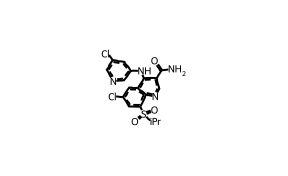 CC(C)S(=O)(=O)c1cc(Cl)cc2c(Nc3cncc(Cl)c3)c(C(N)=O)cnc12